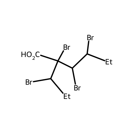 CCC(Br)C(Br)C(Br)(C(=O)O)C(Br)CC